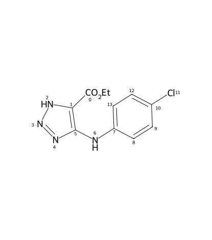 CCOC(=O)c1[nH]nnc1Nc1ccc(Cl)cc1